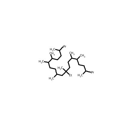 CCC(C)(CCC(C)C(C)CCC(C)C(C)C)CC(C)CCC(C)C(C)CCC(C)C(C)C